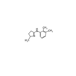 Cc1cccc(NC2=NC(C)CC2)c1C